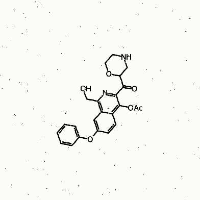 CC(=O)Oc1c(C(=O)C2CNCCO2)nc(CO)c2cc(Oc3ccccc3)ccc12